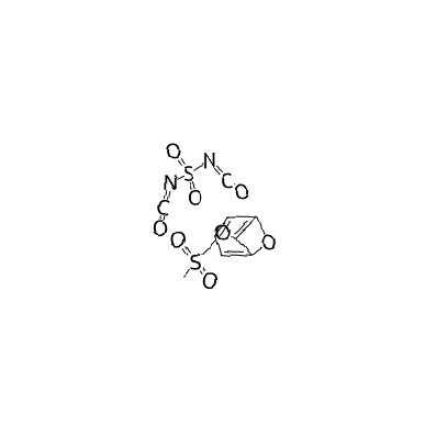 CS(=O)(=O)Oc1c2cccc1O2.O=C=NS(=O)(=O)N=C=O